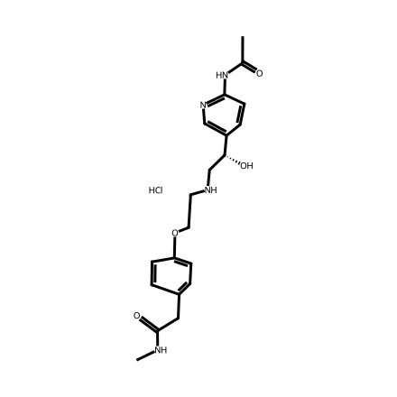 CNC(=O)Cc1ccc(OCCNC[C@@H](O)c2ccc(NC(C)=O)nc2)cc1.Cl